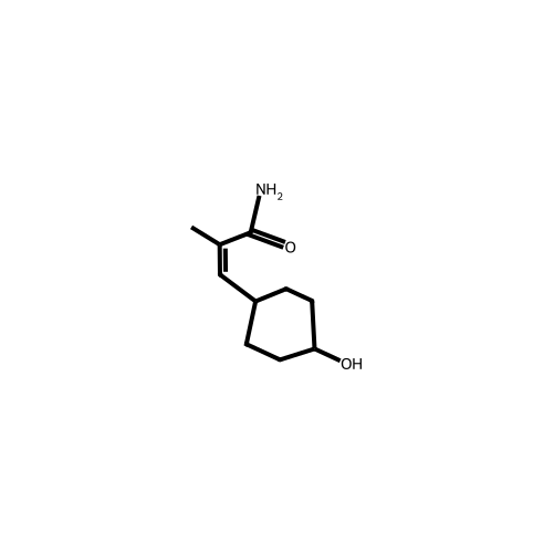 CC(=CC1CCC(O)CC1)C(N)=O